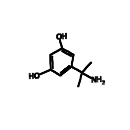 CC(C)(N)c1cc(O)cc(O)c1